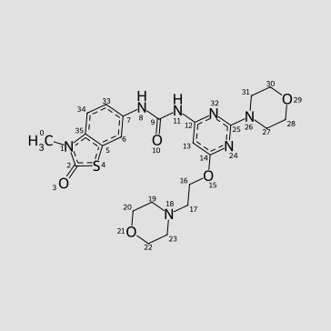 Cn1c(=O)sc2cc(NC(=O)Nc3cc(OCCN4CCOCC4)nc(N4CCOCC4)n3)ccc21